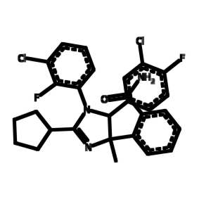 CC1(c2ccccc2C(N)=O)N=C(C2CCCC2)N(c2cccc(Cl)c2F)C1c1ccc(F)c(Cl)c1